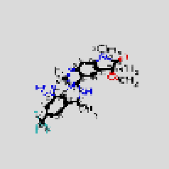 CO[C@]1(C)C(=O)N(C)c2cc3nc(C)nc(NC(C)c4cc(N)cc(C(F)(F)F)c4)c3cc21